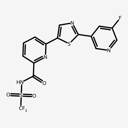 O=C(NS(=O)(=O)C(F)(F)F)c1cccc(-c2cnc(-c3cncc(F)c3)s2)n1